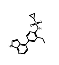 CCc1cc(-c2ccnc3[nH]ccc23)ccc1NS(=O)(=O)C1CC1